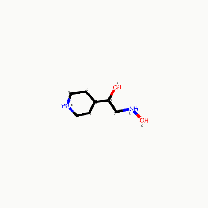 ONCC(O)C1CCNCC1